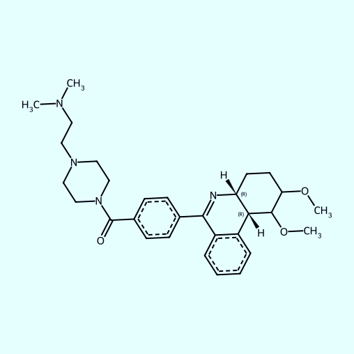 COC1CC[C@H]2N=C(c3ccc(C(=O)N4CCN(CCN(C)C)CC4)cc3)c3ccccc3[C@H]2C1OC